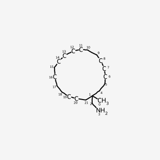 CC1(CN)CCCCCCCCCCCCCCCCCC1